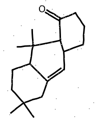 CC1(C)CCC2C(=CC3CCCC(=O)C3C2(C)C)C1